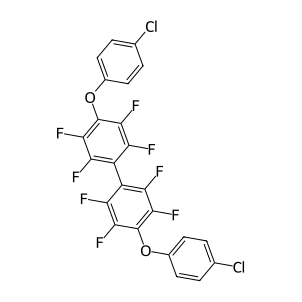 Fc1c(F)c(-c2c(F)c(F)c(Oc3ccc(Cl)cc3)c(F)c2F)c(F)c(F)c1Oc1ccc(Cl)cc1